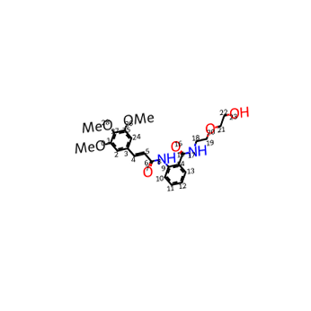 COc1cc(C=CC(=O)Nc2ccccc2C(=O)NCCOCCO)cc(OC)c1OC